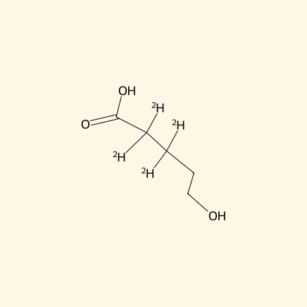 [2H]C([2H])(CCO)C([2H])([2H])C(=O)O